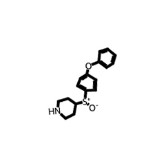 [O-][S+](c1ccc(Oc2ccccc2)cc1)C1CCNCC1